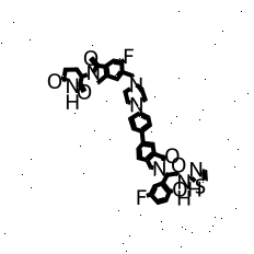 O=C1CCC(N2Cc3cc(CN4CCN(c5ccc(-c6ccc7c(c6)C(=O)N(C(C(=O)Nc6nccs6)c6cc(F)ccc6O)C7)cc5)CC4)c(F)cc3C2=O)C(=O)N1